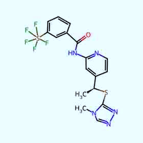 C[C@H](Sc1nncn1C)c1ccnc(NC(=O)c2cccc(S(F)(F)(F)(F)F)c2)c1